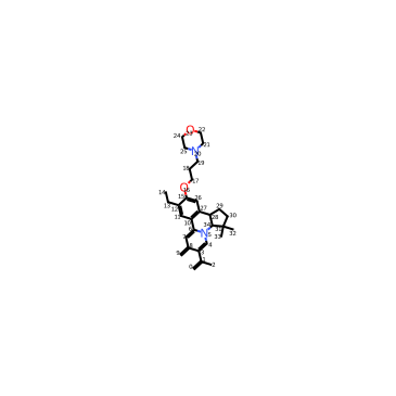 C=C(C)C1=CN2C(=CC1=C)c1cc(CC)c(OCCCN3CCOCC3)cc1C1CCC(C)(C)C12